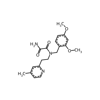 COc1ccc(CN(CCc2cc(C)ccn2)C(=O)C(N)=O)c(OC)c1